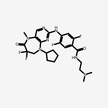 CN(C)CCNC(=O)c1cc(F)c(Nc2ncc3c(n2)N(C2CCCC2)CC(F)(F)C(=O)N3C)cc1F